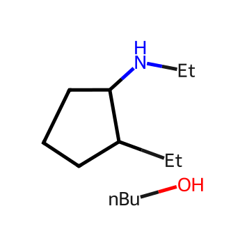 CCCCO.CCNC1CCCC1CC